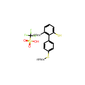 CCCCCCSc1ccc(-c2c(S)cccc2CCCCCC)cc1.O=S(=O)(O)C(F)(F)F